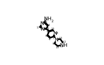 Nc1cc(-c2ccc(N3CCNCC3)nc2)ncn1